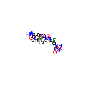 CN(C(=O)N1CCC(c2ccc(NC3CCC(=O)NC3=O)cc2F)CC1)C1CCN(Cc2ccc(-c3cn(C)c(=O)c4[nH]ncc34)cc2OC(F)(F)F)CC1